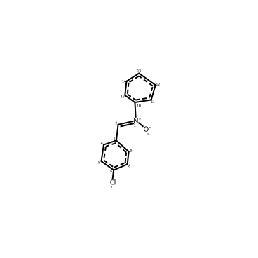 [O-][N+](=Cc1ccc(Cl)cc1)c1ccccc1